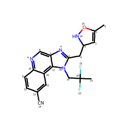 CC1=CC(Cc2nc3cnc4ccc(C#N)cc4c3n2CC(C)(F)F)NO1